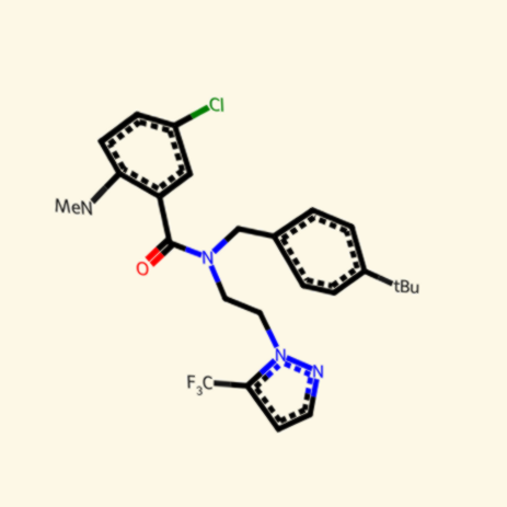 CNc1ccc(Cl)cc1C(=O)N(CCn1nccc1C(F)(F)F)Cc1ccc(C(C)(C)C)cc1